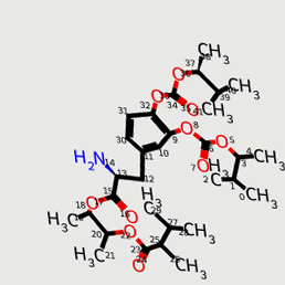 CC(C)C(C)OC(=O)Oc1cc(C[C@H](N)C(=O)OC(C)C(C)OC(=O)C(C)C(C)C)ccc1OC(=O)O[C@@H](C)C(C)C